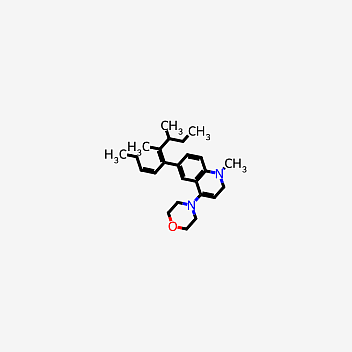 CC/C=C\C(=C(/C)C(C)CC)c1ccc2c(c1)C(N1CCOCC1)=CCN2C